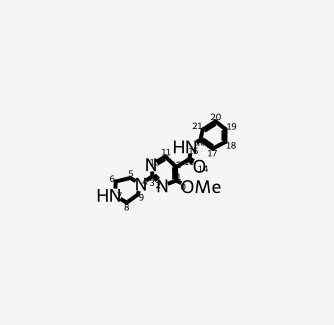 COc1nc(N2CCNCC2)ncc1C(=O)Nc1ccccc1